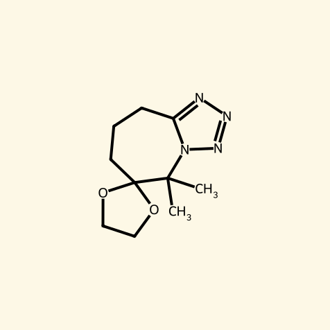 CC1(C)n2nnnc2CCCC12OCCO2